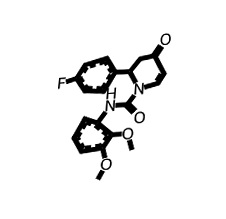 COc1cccc(NC(=O)N2C=CC(=O)CC2c2ccc(F)cc2)c1OC